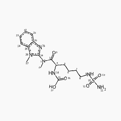 CN(C(=O)C(CCCCNS(N)(=O)=O)NC(=O)O)c1nc2ccccc2n1C